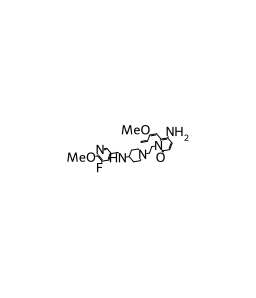 C=C/C(=C\c1c(N)ccc(=O)n1CCN1CCC(NCc2cnc(OC)c(F)c2)CC1)OC